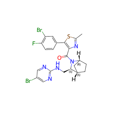 Cc1nc(C(=O)N2[C@@H]3CC[C@@H](C3)[C@H]2CNc2ncc(Br)cn2)c(-c2ccc(F)c(Br)c2)s1